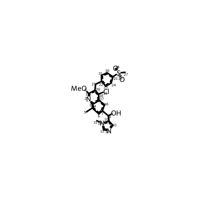 COc1nc2c(C)cc(C(O)c3cncn3C)cc2c(Cl)c1Cc1ccc(S(C)(=O)=O)cc1